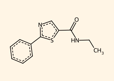 CCNC(=O)c1cnc(-c2ccccc2)s1